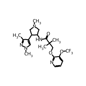 Cc1nn(C)cc1C1CN(C)CC1NC(=O)C(C)(C)COc1ncccc1OC(F)(F)F